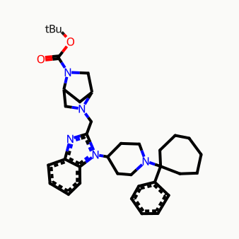 CC(C)(C)OC(=O)N1CC2CC1CN2Cc1nc2ccccc2n1C1CCN(C2(c3ccccc3)CCCCCC2)CC1